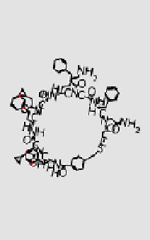 NCCCC[C@H]1CN(C(=O)CCc2ccccc2)CC(=O)N[C@@H](Cc2ccccc2)CN(CC(N)=O)C(=O)CCSCc2ccc(cc2)C(=O)N[C@@H](Cc2ccccc2)CN(C(O)CC2CC2)CC(=O)N[C@@H](CCc2ccccc2)CN(C(=O)CC2CC2)CC(=O)N1